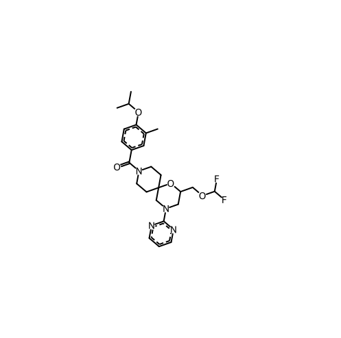 Cc1cc(C(=O)N2CCC3(CC2)CN(c2ncccn2)CC(COC(F)F)O3)ccc1OC(C)C